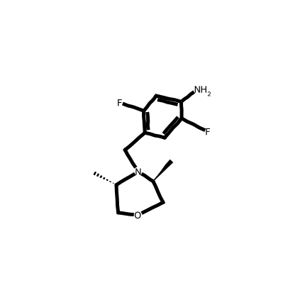 C[C@H]1COC[C@H](C)N1Cc1cc(F)c(N)cc1F